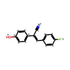 N#CC(=Cc1ccc(F)cc1)c1ccc(O)cc1